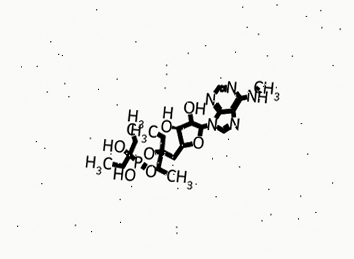 CCC(CC)(CC1OC(n2cnc3c(NC)ncnc32)C(O)[C@@H]1O)OP(=O)(O)C(O)(CC)CC